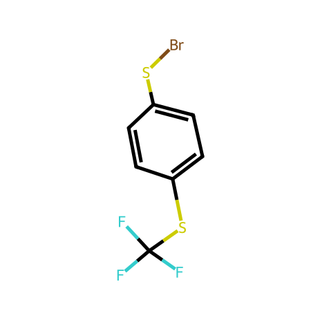 FC(F)(F)Sc1ccc(SBr)cc1